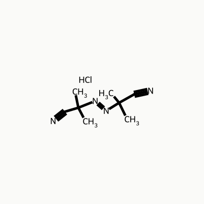 CC(C)(C#N)N=NC(C)(C)C#N.Cl